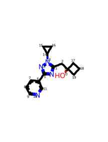 OC1(Cc2nc(-c3c[c]cnc3)nn2C2CC2)CCC1